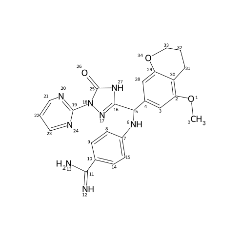 COc1cc(C(Nc2ccc(C(=N)N)cc2)c2nn(-c3ncccn3)c(=O)[nH]2)cc2c1CCCO2